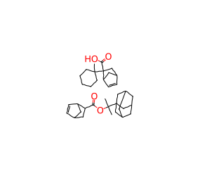 CC(C)(OC(=O)C1CC2C=CC1C2)C12CC3CC(CC(C3)C1)C2.CC1(C2(C(=O)O)CC3C=CC2C3)CCCCC1